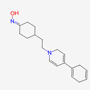 ON=C1CCC(CCN2C=CC(C3=CCC=CC3)=CC2)CC1